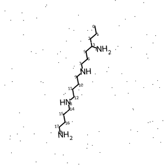 CCCC(N)CCCNCCCCNCCCCN